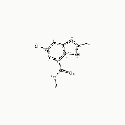 COC(=O)c1cc(Cl)cc2cc(C)[nH]c12